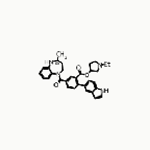 CCN1CCC(OC(=O)c2cc(C(=O)N3CC[C@H](C)Nc4ccccc43)ccc2-c2ccc3[nH]ccc3c2)C1